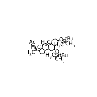 CC(=O)CCC(C)C1CCC2C3CC(O[Si](C)(C)C(C)(C)C)C4CC(O[Si](C)(C)C(C)(C)C)CCC4(C)C3CCC12C